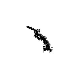 CCCCCCCCS(=O)(=O)Oc1cccc2c1COC(c1csc(C3CCN(C(=O)Cn4nc(C(F)F)cc4C(F)F)CC3)n1)OC2